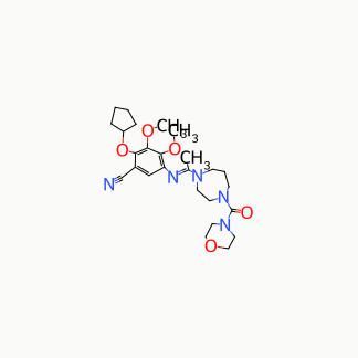 COc1c(N=C(C)N2CCCN(C(=O)N3CCOCC3)CC2)cc(C#N)c(OC2CCCC2)c1OC